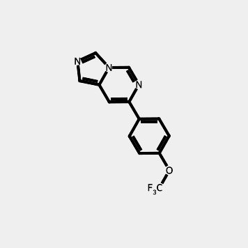 FC(F)(F)Oc1ccc(-c2cc3cncn3cn2)cc1